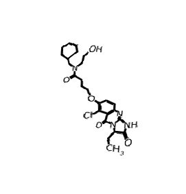 CCC1C(=O)Nc2nc3ccc(OCCCC(=O)N(CCO)CC4CCCCC4)c(Cl)c3c(=O)n21